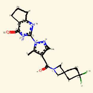 Cc1c(C(=O)N2CC3(C2)CC(F)(F)C3)cnn1-c1nc2c(c(=O)[nH]1)CCC2